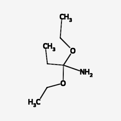 CCOC(N)(CC)OCC